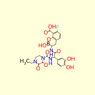 CCN1CCN(C(=O)NC(C(=O)NC2Cc3ccc(F)c(C(=O)O)c3OB2O)c2ccc(O)c(O)c2)C(=O)C1=O